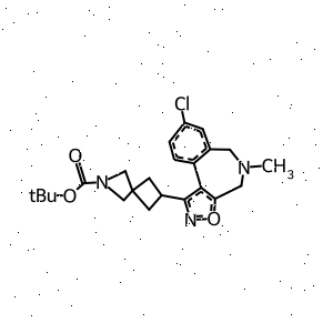 CN1Cc2cc(Cl)ccc2-c2c(C3CC4(C3)CN(C(=O)OC(C)(C)C)C4)noc2C1